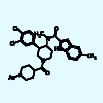 CC(=O)N1CCC(C(=O)N2CC[C@@H](N(C)C(=O)c3cc4cc(C)ccc4[nH]3)[C@H](c3ccc(Cl)c(Cl)c3)C2)CC1